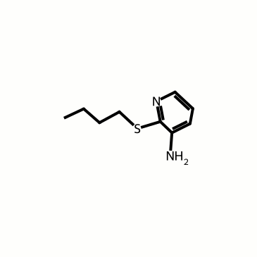 CCCCSc1ncccc1N